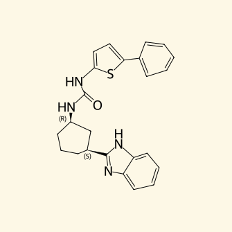 O=C(Nc1ccc(-c2ccccc2)s1)N[C@@H]1CCC[C@H](c2nc3ccccc3[nH]2)C1